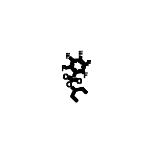 CCC(CC)OS(=O)(=O)c1c(F)c(F)c(F)c(F)c1F